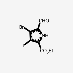 CCOC(=O)c1[nH]c(C=O)c(Br)c1I